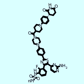 CCCS(=O)(=O)Nc1cccc(-c2nc(-c3ccc(N4CCN(C(=O)C5CCN(c6ccc([C@H]7CCC(=O)NC7=O)cc6)CC5)CC4)cc3)sc2-c2ccnc(N)n2)c1F